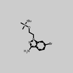 CC(C)(C)[Si](C)(C)OCCn1nc(N)c2ccc(Br)cc21